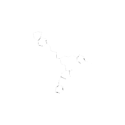 Cc1cnc(OCCN(CCCCc2ccc3c(n2)NCCC3)CCC(NC(=O)Cc2ccccc2)C(=O)O)cn1